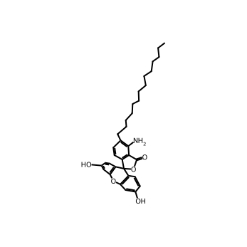 CCCCCCCCCCCCCCc1ccc2c(c1N)C(=O)OC21c2ccc(O)cc2Oc2cc(O)ccc21